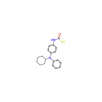 O=C(S)Nc1ccc(N(c2ccccc2)C2CCCCC2)cc1